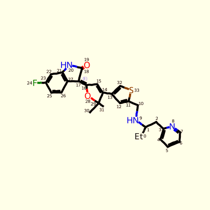 CCC(Cc1ccccn1)NCc1cc(C2=C/C(=C3\C(=O)Nc4cc(F)ccc43)OC2(C)C)cs1